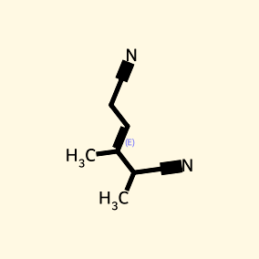 C/C(=C\CC#N)C(C)C#N